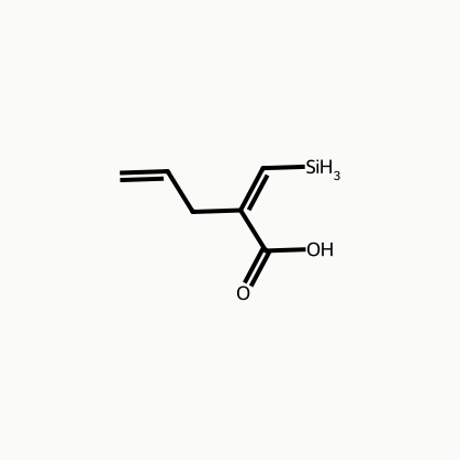 C=CCC(=C[SiH3])C(=O)O